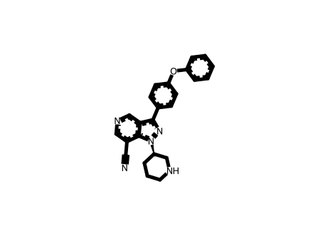 N#Cc1cncc2c(-c3ccc(Oc4ccccc4)cc3)nn([C@@H]3CCCNC3)c12